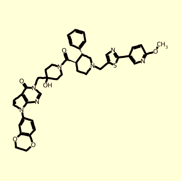 COc1ccc(-c2ncc(CN3CC[C@@H](C(=O)N4CCC(O)(Cn5cnc6c(ccn6-c6ccc7c(c6)OCCO7)c5=O)CC4)[C@H](c4ccccc4)C3)s2)cn1